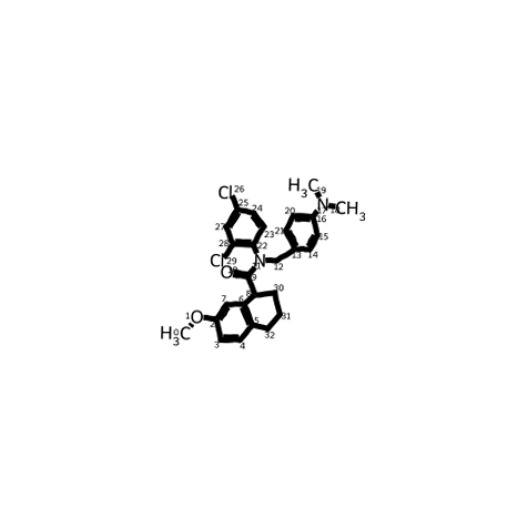 COc1ccc2c(c1)C(C(=O)N(Cc1ccc(N(C)C)cc1)c1ccc(Cl)cc1Cl)CCC2